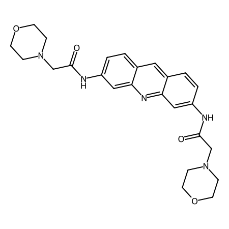 O=C(CN1CCOCC1)Nc1ccc2cc3ccc(NC(=O)CN4CCOCC4)cc3nc2c1